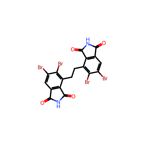 O=C1NC(=O)c2c1cc(Br)c(Br)c2CCc1c(Br)c(Br)cc2c1C(=O)NC2=O